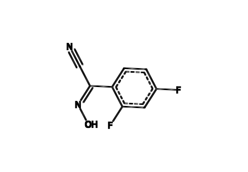 N#C/C(=N/O)c1ccc(F)cc1F